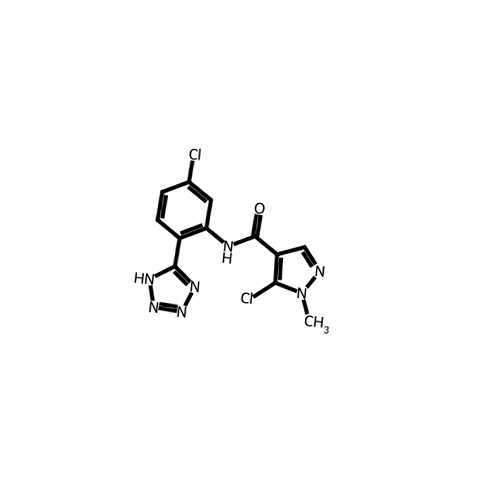 Cn1ncc(C(=O)Nc2cc(Cl)ccc2-c2nnn[nH]2)c1Cl